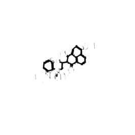 CCCCC(C(=O)N(C)c1ccccc1N)C1C(=O)c2cccc3c(O)ccc(c23)C1=O